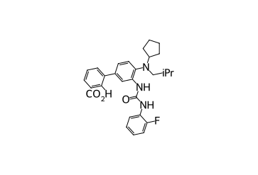 CC(C)CN(c1ccc(-c2ccccc2C(=O)O)cc1NC(=O)Nc1ccccc1F)C1CCCC1